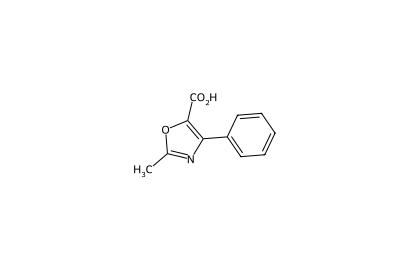 Cc1nc(-c2ccccc2)c(C(=O)O)o1